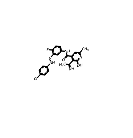 CC(=N)c1c(C(=O)Nc2ccc(F)c(SNc3ccc(Cl)cc3)c2)cc(C)nc1O